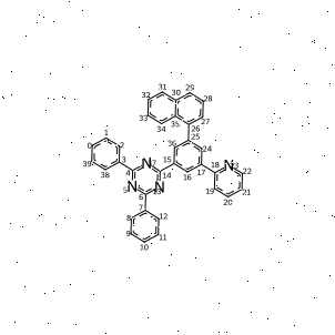 c1ccc(-c2nc(-c3ccccc3)nc(-c3cc(-c4ccccn4)cc(-c4cccc5ccccc45)c3)n2)cc1